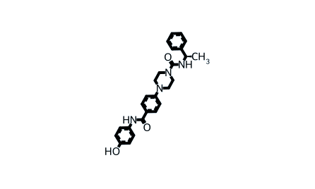 C[C@@H](NC(=O)N1CCN(c2ccc(C(=O)Nc3ccc(O)cc3)cc2)CC1)c1ccccc1